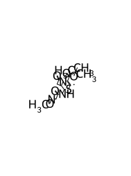 CON=CC(=O)NC1S[C]=C(C(=O)OC(C)(C)C)N2C(=O)CC12